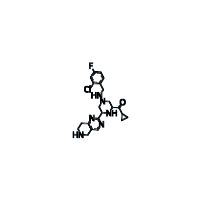 O=C(C1CC1)C1CN(NCc2ccc(F)cc2Cl)CC(c2ncc3c(n2)CCNC3)N1